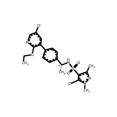 CCOc1ncc(Cl)cc1-c1ccc([C@@H](C)NS(=O)(=O)c2c(C)nn(C)c2Cl)cc1